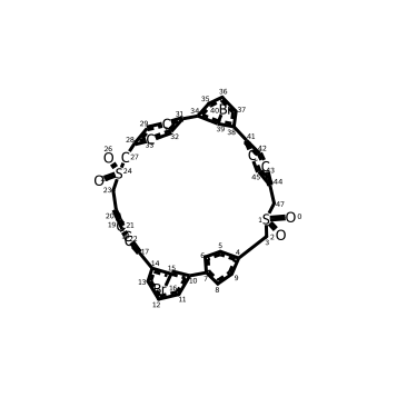 O=S1(=O)Cc2ccc(cc2)-c2cccc(c2Br)-c2ccc(cc2)CS(=O)(=O)Cc2ccc(cc2)-c2cccc(c2Br)-c2ccc(cc2)C1